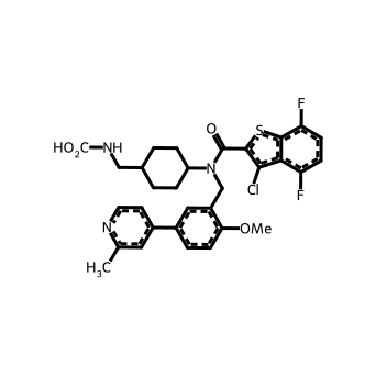 COc1ccc(-c2ccnc(C)c2)cc1CN(C(=O)c1sc2c(F)ccc(F)c2c1Cl)C1CCC(CNC(=O)O)CC1